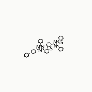 C1=CC(C(=N/c2csc3ccccc23)/N=C/c2ccccc2)C2Sc3cccc(-c4nc(-c5ccccc5)nc(-c5ccc(-c6ccccc6)cc5)n4)c3C2=C1